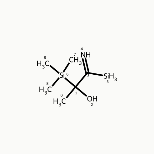 CC(O)(C(=N)[SiH3])[Si](C)(C)C